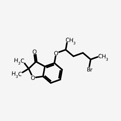 CC(Br)CCC(C)Oc1cccc2c1C(=O)C(C)(C)O2